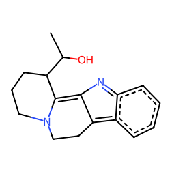 CC(O)C1CCCN2CCC3=c4ccccc4=NC3=C12